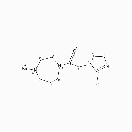 Cc1nccn1CC(=O)N1CCCN(C(C)(C)C)CC1